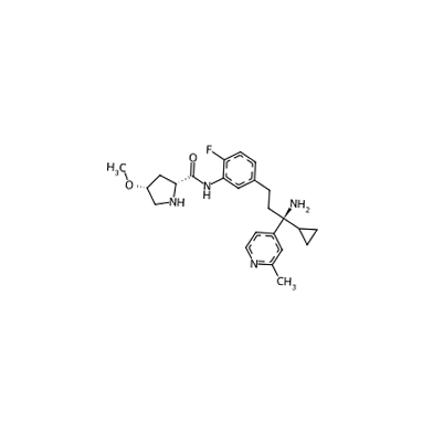 CO[C@H]1CN[C@@H](C(=O)Nc2cc(CC[C@@](N)(c3ccnc(C)c3)C3CC3)ccc2F)C1